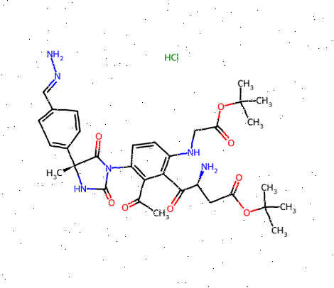 CC(=O)c1c(N2C(=O)N[C@](C)(c3ccc(C=NN)cc3)C2=O)ccc(NCC(=O)OC(C)(C)C)c1C(=O)[C@@H](N)CC(=O)OC(C)(C)C.Cl